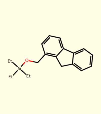 CC[Si](CC)(CC)OCc1cccc2c1Cc1ccccc1-2